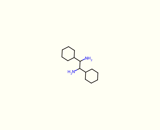 NC(C1CCCCC1)C(N)C1CCCCC1